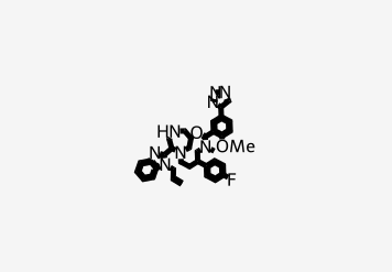 C=CCn1c(C2CNCCCN2CCC(CN(C)C(=O)c2cc(C3C=NN=N3)ccc2OC)c2ccc(F)cc2)nc2ccccc21